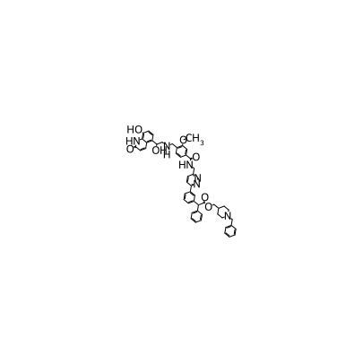 COc1cc(C(=O)NCc2ccc(-c3cccc(C(C(=O)OCC4CCN(Cc5ccccc5)CC4)c4ccccc4)c3)nn2)ccc1CNCC(O)c1ccc(O)c2[nH]c(=O)ccc12